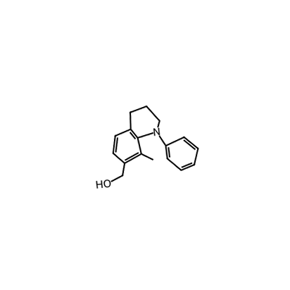 Cc1c(CO)ccc2c1N(c1ccccc1)CCC2